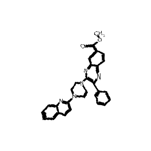 COC(=O)c1ccc2nc(-c3ccccc3)c(N3CCN(c4ccc5ccccc5n4)CC3)nc2c1